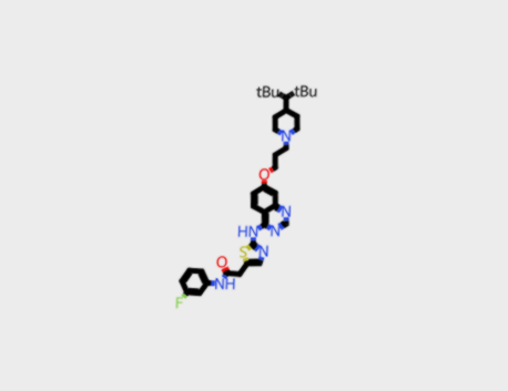 CC(C)(C)C(C1CCN(CCCOc2ccc3c(Nc4ncc(CC(=O)Nc5cccc(F)c5)s4)ncnc3c2)CC1)C(C)(C)C